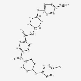 Cc1ccc(CC2CCN(C(=O)c3ccc(C(=O)NC4CCN(Cc5ccc(C#N)cc5)CC4)cc3)CC2)cc1